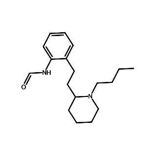 CCCCN1CCCCC1CCc1ccccc1NC=O